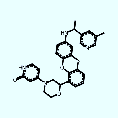 Cc1cncc(C(C)Nc2ccc3c(c2)Sc2cccc(C4CN(c5cc[nH]c(=O)c5)CCO4)c2O3)c1